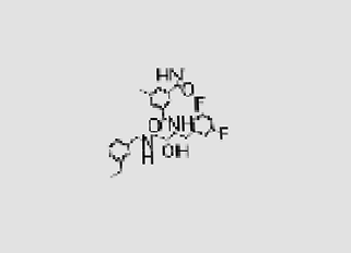 CCc1cccc(CNC[C@@H](O)[C@H](Cc2cc(F)cc(F)c2)NC(=O)c2cc(C)cc(C(=O)NC)c2)c1